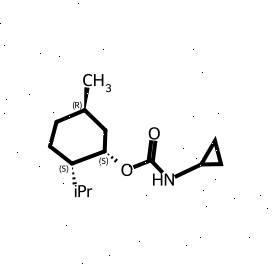 CC(C)[C@@H]1CC[C@@H](C)C[C@@H]1OC(=O)NC1CC1